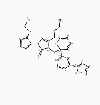 CCCCc1cn(-c2cccn2CCC)c(=O)n1CC1(c2cccc(-c3nnn[nH]3)c2)C=CN=CC1